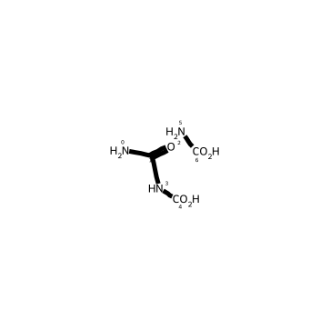 NC(=O)NC(=O)O.NC(=O)O